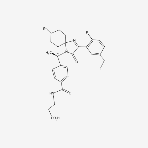 CC(C)C1CCC2(CC1)N=C(c1cc(CI)ccc1F)C(=O)N2[C@H](C)c1ccc(C(=O)NCCC(=O)O)cc1